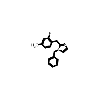 Cc1ccc([CH]c2nccn2Cc2ccccc2)c(F)c1